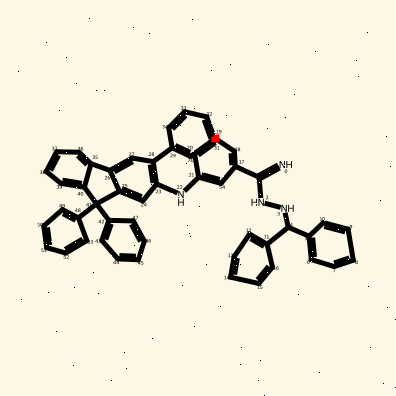 N=C(NNC(c1ccccc1)c1ccccc1)c1cccc(Nc2cc3c(cc2-c2ccccc2)-c2ccccc2C3(c2ccccc2)c2ccccc2)c1